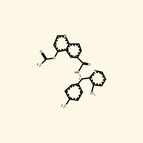 O=C(N[C@@H](c1ccc(C(F)(F)F)cc1)c1ncccc1C(F)(F)F)c1ccc2nccc(OC(=O)C(F)(F)F)c2c1